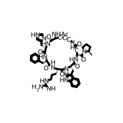 CC(=O)N[C@H]1CCCNC(=O)C[C@@H](C(=O)N2CCC[C@H]2C)NC(=O)[C@H](Cc2c[nH]c3ccccc23)NC(=O)[C@H](CCCNC(=N)N)NC(=O)[C@@H](Cc2ccccc2)NC(=O)[C@H](Cc2c[nH]cn2)NC1=O